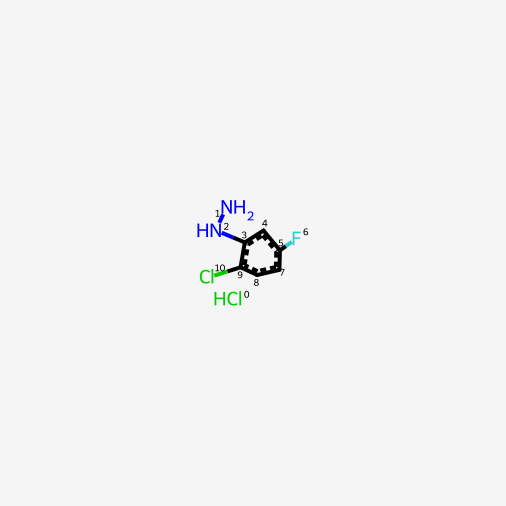 Cl.NNc1cc(F)ccc1Cl